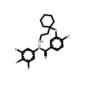 O=C(Nc1cc(F)c(F)c(F)c1)c1ccc(Cl)c(SC2(CCO)CCCCC2)c1